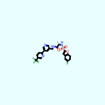 C[C@H](NS(=O)(=O)c1cc2cc(F)ccc2o1)C(=O)NCc1cncc(-c2ccc(C(F)(F)F)cn2)c1